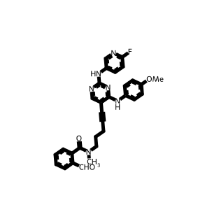 COc1ccc(Nc2nc(Nc3ccc(F)nc3)ncc2C#CCCCN(C)C(=O)c2ccccc2C=O)cc1